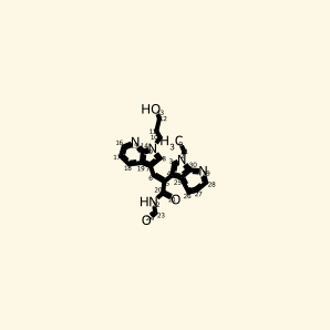 CCn1cc(/C(=C\c2cn(CCCO)c3ncccc23)C(=O)NC=O)c2cccnc21